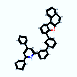 c1ccc(-c2cc(-c3ccccc3)nc(-c3cccc(-c4cccc(-c5cccc6c5oc5ccc7ccccc7c56)c4)c3)c2)cc1